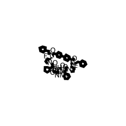 CN[C@@H](C)C(=O)N[C@H](C(=O)N1CC[C@H](F)[C@H]1CN(CCc1ccccc1)C(=O)c1ccc(-c2ccc(C(=O)N(CCc3ccccc3)C[C@@H]3[C@@H](F)CCN3C(=O)[C@@H](NC(=O)C(C)C)C3CCCCC3)cc2)cc1)C1CCCCC1